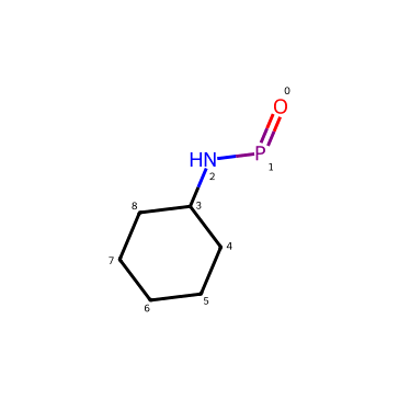 O=PNC1CCCCC1